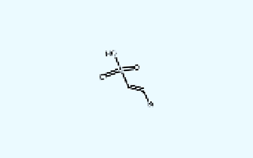 O=S(=O)(O)C=CBr